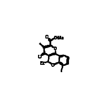 CCC1Oc2c(C)cccc2-c2oc(C(=O)OC)c(C)c(=O)c21